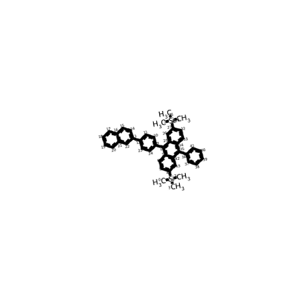 C[Si](C)(C)c1ccc2c(-c3ccc(-c4ccc5ccccc5c4)cc3)c3cc([Si](C)(C)C)ccc3c(-c3ccccc3)c2c1